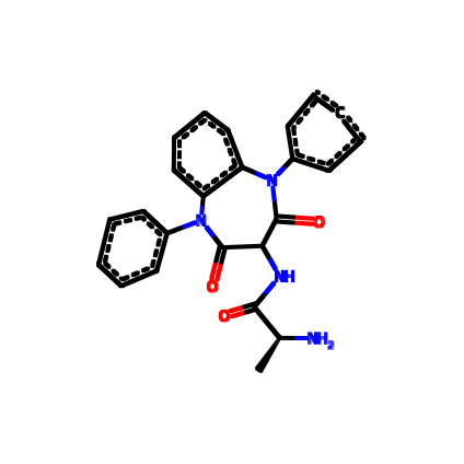 C[C@H](N)C(=O)NC1C(=O)N(c2ccccc2)c2ccccc2N(c2ccccc2)C1=O